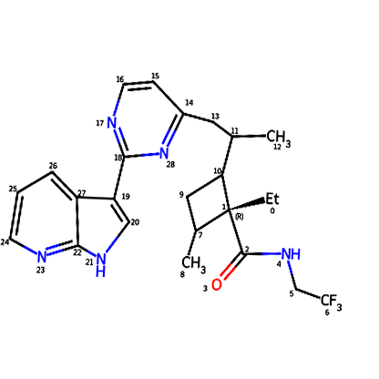 CC[C@@]1(C(=O)NCC(F)(F)F)C(C)CC1C(C)Cc1ccnc(-c2c[nH]c3ncccc23)n1